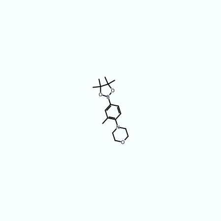 Cc1cc(B2OC(C)(C)C(C)(C)O2)ccc1N1CCOCC1